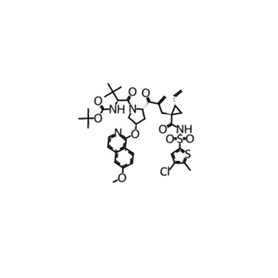 C=C[C@@H]1C[C@]1(CC(=C)C(=O)[C@@H]1C[C@@H](Oc2nccc3cc(OC)ccc23)CN1C(=O)[C@@H](NC(=O)OC(C)(C)C)C(C)(C)C)C(=O)NS(=O)(=O)c1cc(Cl)c(C)s1